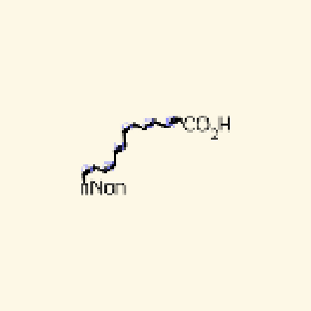 CCCCCCCCC\C=C/C=C\C=C\C=C/C=C/C=C/C(=O)O